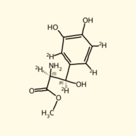 [2H]c1c([2H])c([C@@]([2H])(O)[C@]([2H])(N)C(=O)OC)c([2H])c(O)c1O